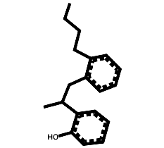 CCCCc1ccccc1CC(C)c1ccccc1O